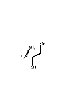 CCCCCS.NN